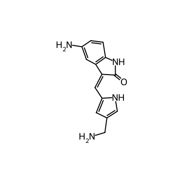 NCc1c[nH]c(C=C2C(=O)Nc3ccc(N)cc32)c1